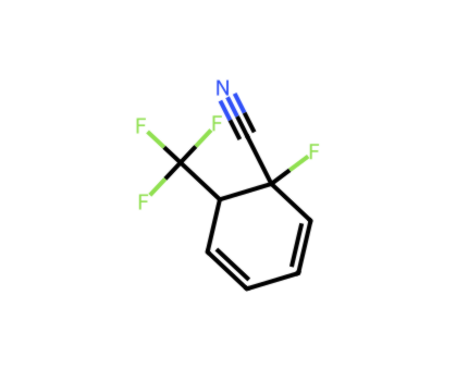 N#CC1(F)C=CC=CC1C(F)(F)F